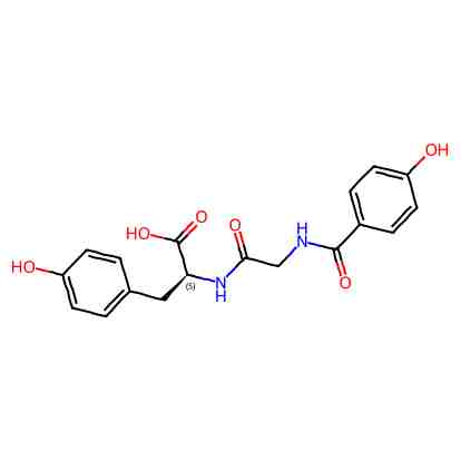 O=C(CNC(=O)c1ccc(O)cc1)N[C@@H](Cc1ccc(O)cc1)C(=O)O